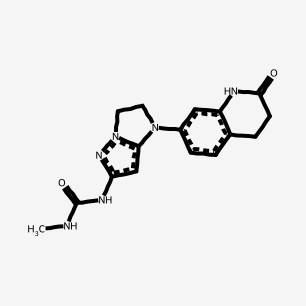 CNC(=O)Nc1cc2n(n1)CCN2c1ccc2c(c1)NC(=O)CC2